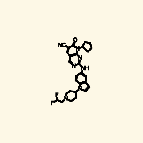 N#Cc1cc2cnc(Nc3ccc4c(ccn4C4CCN(CC(F)F)CC4)c3)nc2n(C2CCCC2)c1=O